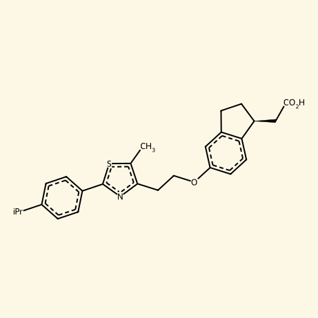 Cc1sc(-c2ccc(C(C)C)cc2)nc1CCOc1ccc2c(c1)CC[C@H]2CC(=O)O